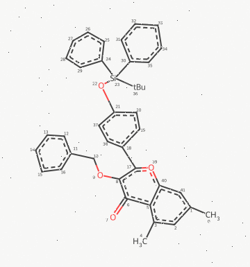 Cc1cc(C)c2c(=O)c(OCc3ccccc3)c(-c3ccc(O[Si](c4ccccc4)(c4ccccc4)C(C)(C)C)cc3)oc2c1